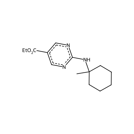 CCOC(=O)c1cnc(NC2(C)CCCCC2)nc1